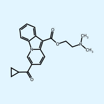 CN(C)CCOC(=O)c1c2ccccc2n2cc(C(=O)C3CC3)ccc12